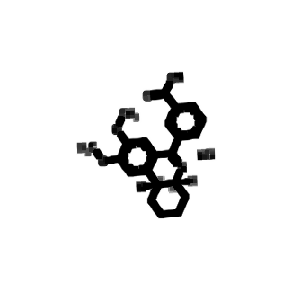 COc1cc2c(cc1OC)[C@H]1CCCC[C@H]1N=C2c1cccc(C(=O)O)c1.Cl